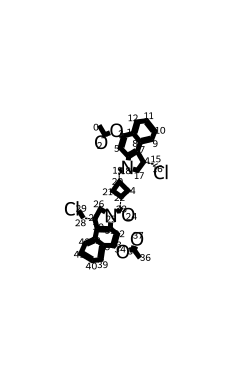 CC(=O)Oc1cc2c(c3ccccc13)[C@H](CCl)CN2C[C@H]1C[C@@H](C(=O)N2C[C@@H](CCl)c3c2cc(OC(C)=O)c2ccccc32)C1